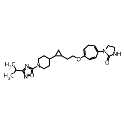 CC(C)c1noc(N2CCC(C3CC3CCOC3=CCC=C(N4CCNC4=O)C=C3)CC2)n1